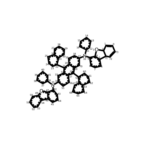 C1=CC2Oc3c(cccc3N(c3ccccc3)c3ccc4c(-c5cccc6ccccc56)c5cc(N(c6ccccc6)c6cccc7c6oc6ccccc67)ccc5c(-c5cccc6ccccc56)c4c3)C2C=C1